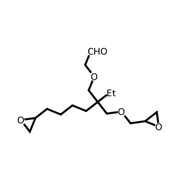 CCC(CCCCC1CO1)(COCC=O)COCC1CO1